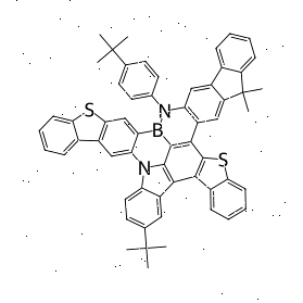 CC(C)(C)c1ccc(N2B3c4cc5sc6ccccc6c5cc4-n4c5ccc(C(C)(C)C)cc5c5c6c(sc7ccccc76)c(c3c54)-c3cc4c(cc32)-c2ccccc2C4(C)C)cc1